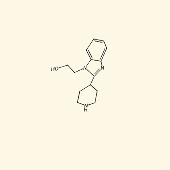 OCCn1c(C2CCNCC2)nc2ccccc21